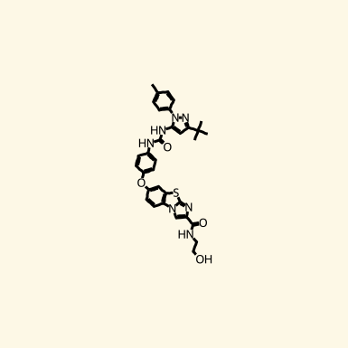 Cc1ccc(-n2nc(C(C)(C)C)cc2NC(=O)Nc2ccc(Oc3ccc4c(c3)sc3nc(C(=O)NCCO)cn34)cc2)cc1